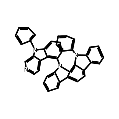 c1ccc(-n2c3cnccc3c3c(-n4c5ccccc5c5ccc6c7ccccc7n(-c7ccccc7)c6c54)cccc32)cc1